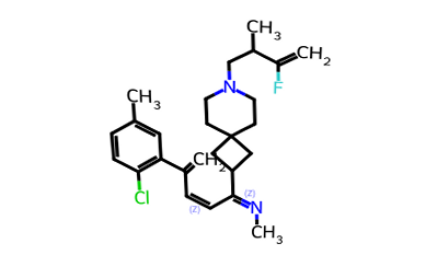 C=C(/C=C\C(=N/C)C1CC2(CCN(CC(C)C(=C)F)CC2)C1)c1cc(C)ccc1Cl